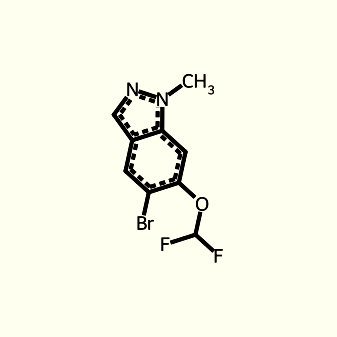 Cn1ncc2cc(Br)c(OC(F)F)cc21